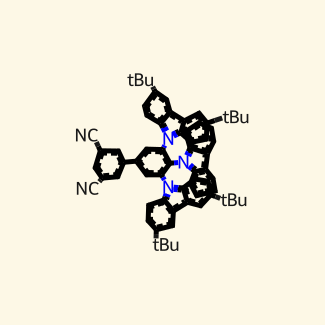 CC(C)(C)c1ccc2c(c1)c1cc(C(C)(C)C)ccc1n2-c1cc(-c2cc(C#N)cc(C#N)c2)cc(-n2c3ccc(C(C)(C)C)cc3c3cc(C(C)(C)C)ccc32)c1-n1c2ccccc2c2ccccc21